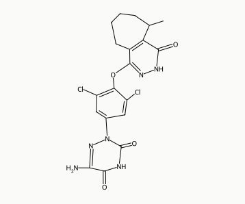 CC1CCCCc2c(Oc3c(Cl)cc(-n4nc(N)c(=O)[nH]c4=O)cc3Cl)n[nH]c(=O)c21